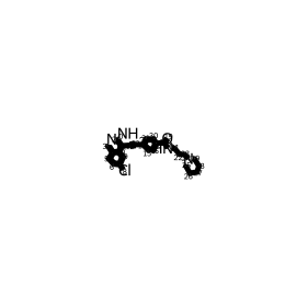 Nc1ncc2ccc(Cl)cc2c1C#Cc1ccc(C(=O)NCCCN2CCCCC2)cc1